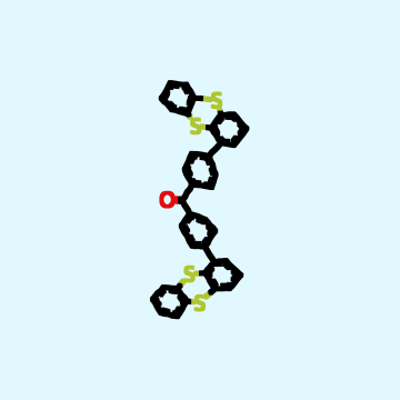 O=C(c1ccc(-c2cccc3c2Sc2ccccc2S3)cc1)c1ccc(-c2cccc3c2Sc2ccccc2S3)cc1